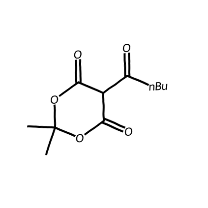 CCCCC(=O)C1C(=O)OC(C)(C)OC1=O